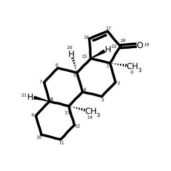 C[C@]12CCC3[C@@H](CC[C@H]4CCCC[C@]34C)[C@@H]1C=CC2=O